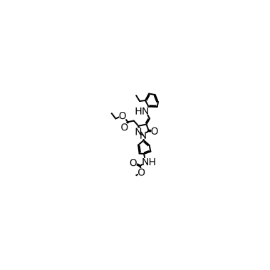 CCOC(=O)CC1=NN(c2ccc(NC(=O)OC)cc2)C(=O)/C1=C/Nc1ccccc1CC